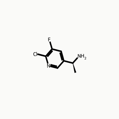 C[C@H](N)c1cnc(Cl)c(F)c1